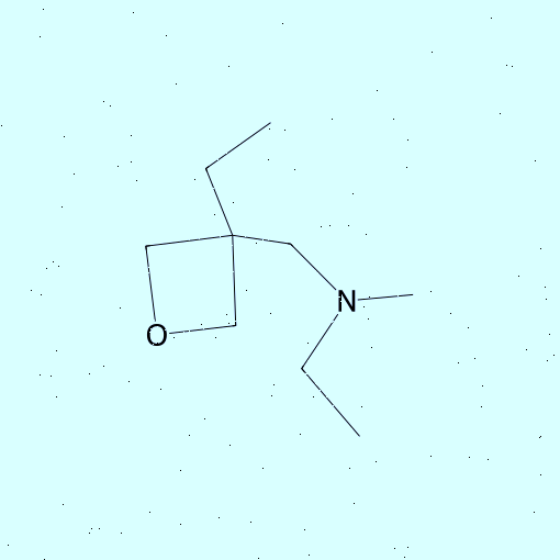 CCN(C)CC1(CC)COC1